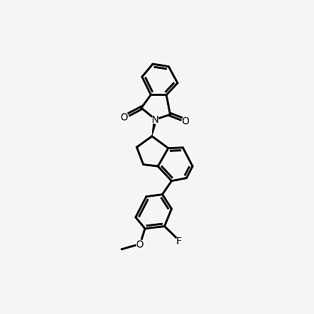 COc1ccc(-c2cccc3c2CC[C@H]3N2C(=O)c3ccccc3C2=O)cc1F